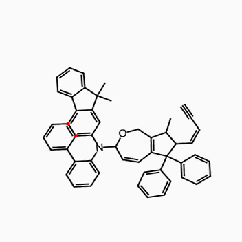 C#C/C=C\C1C(C)C2=C(C=CC(N(c3ccc4c(c3)C(C)(C)c3ccccc3-4)c3ccccc3-c3ccccc3)OC2)C1(c1ccccc1)c1ccccc1